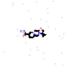 NC(=O)C1=CN2C=C3OCC4(CC4)N3C=C2C=C1